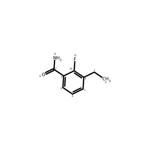 CCc1cccc(C(N)=O)c1F